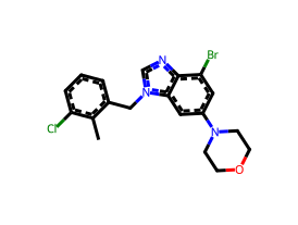 Cc1c(Cl)cccc1Cn1cnc2c(Br)cc(N3CCOCC3)cc21